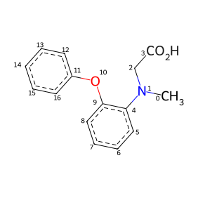 CN(CC(=O)O)c1ccccc1Oc1ccccc1